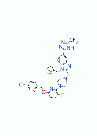 Fc1cc(Cl)ccc1COc1ccc(F)c(N2CCN(Cc3nc4cc(-c5nnc(C(F)(F)F)[nH]5)cnc4n3CC3CCO3)CC2)n1